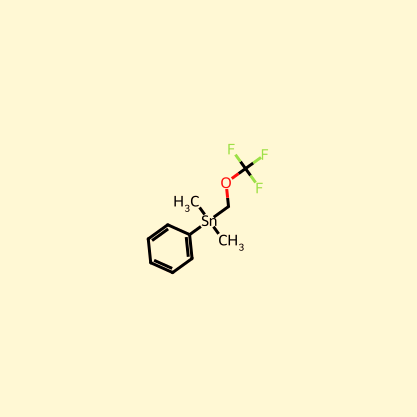 [CH3][Sn]([CH3])([CH2]OC(F)(F)F)[c]1ccccc1